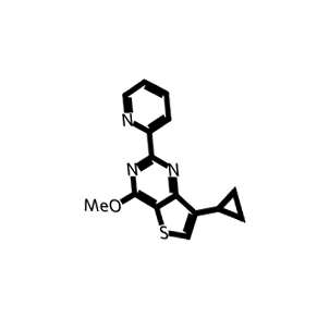 COc1nc(-c2ccccn2)nc2c(C3CC3)csc12